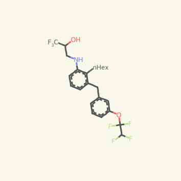 CCCCCCc1c(Cc2cccc(OC(F)(F)C(F)F)c2)cccc1NCC(O)C(F)(F)F